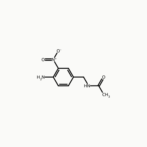 CC(=O)NCc1ccc(N)c([N+](=O)[O-])c1